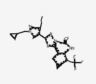 CCc1nn(C2CC2)cc1-c1nc2c3cccc(C(F)(F)F)c3[nH]c(=O)n2n1